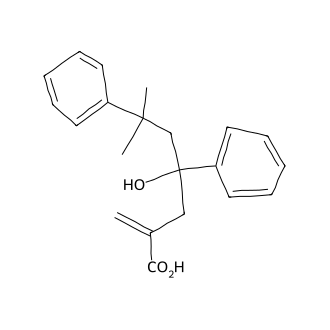 C=C(CC(O)(CC(C)(C)c1ccccc1)c1ccccc1)C(=O)O